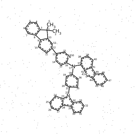 CC1(C)c2ccccc2-c2ccc(-c3ccc(N(c4ccc(-n5c6ccccc6c6ccccc65)cc4)c4cccc5c4sc4ccccc45)nc3)cc21